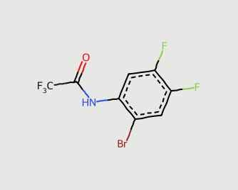 O=C(Nc1cc(F)c(F)cc1Br)C(F)(F)F